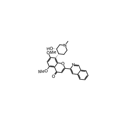 COc1cc(OC)c2c(=O)cc(-c3cc4ccccc4cn3)oc2c1[C@H]1CCN(C)C[C@H]1O